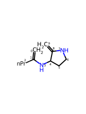 C=C(CCC)NC1CCNC1=C